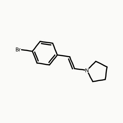 Brc1ccc(C=CN2CCCC2)cc1